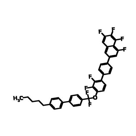 CCCCCc1ccc(-c2ccc(C(F)(F)Oc3ccc(-c4ccc(-c5cc(F)c6c(F)c(F)c(F)cc6c5)cc4)c(F)c3F)cc2)cc1